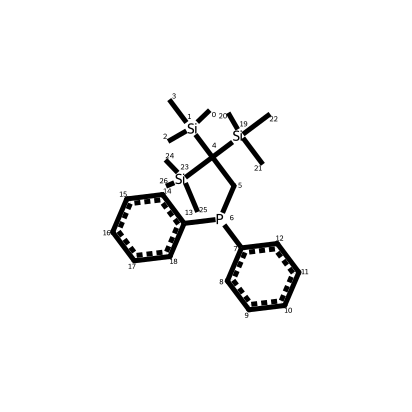 C[Si](C)(C)C(CP(c1ccccc1)c1ccccc1)([Si](C)(C)C)[Si](C)(C)C